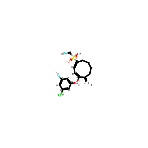 C=C1CCCC/C(S(=O)(=O)CF)=C\C=C/1Oc1cc(F)cc(Cl)c1